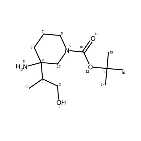 CC(CO)C1(N)CCCN(C(=O)OC(C)(C)C)C1